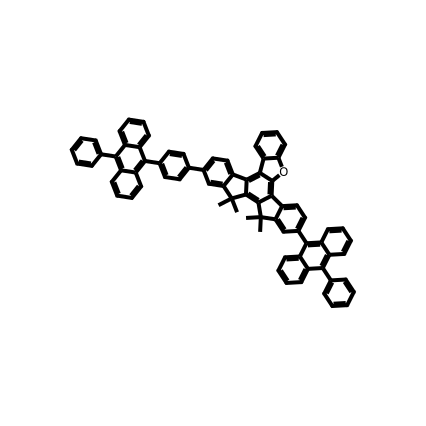 CC1(C)c2cc(-c3c4ccccc4c(-c4ccccc4)c4ccccc34)ccc2-c2c1c1c(c3c2oc2ccccc23)-c2ccc(-c3ccc(-c4c5ccccc5c(-c5ccccc5)c5ccccc45)cc3)cc2C1(C)C